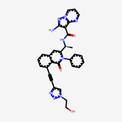 C[C@H](NC(=O)c1c(N)nn2cccnc12)c1cc2cccc(C#Cc3cn(CCO)nn3)c2c(=O)n1-c1ccccc1